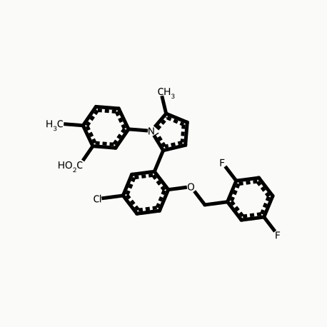 Cc1ccc(-n2c(C)ccc2-c2cc(Cl)ccc2OCc2cc(F)ccc2F)cc1C(=O)O